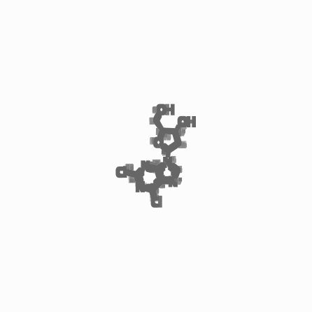 OC[C@@H]1O[C@@H](n2cnc3c(Cl)nc(Cl)nc32)C[C@H]1O